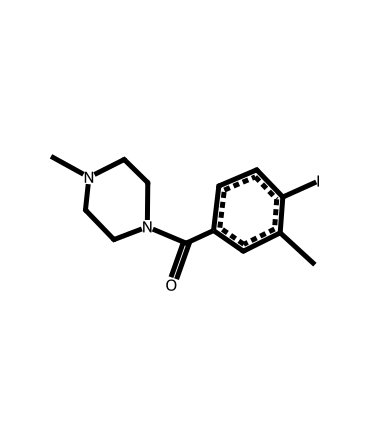 Cc1cc(C(=O)N2CCN(C)CC2)ccc1I